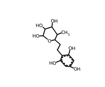 CC1C(CCc2c(O)cc(O)cc2O)OC(O)C(O)C1O